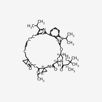 CC[C@@H]1C[C@@]12NC(=O)[C@@H]1C[C@H](CN1C(=O)[C@@H](C)C(C)(C)C)Oc1nc3c(cccc3n1C(C)C)-c1nc(C(C)C)c(s1)CCC=CCCC1(CC1)S(=O)(=O)CC2=O